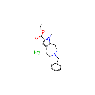 CCOC(=O)c1cc2c(n1C)CCN(Cc1ccccc1)CC2.Cl